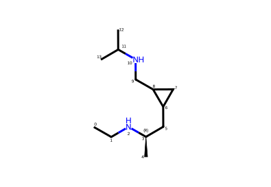 CCN[C@H](C)CC1CC1CNC(C)C